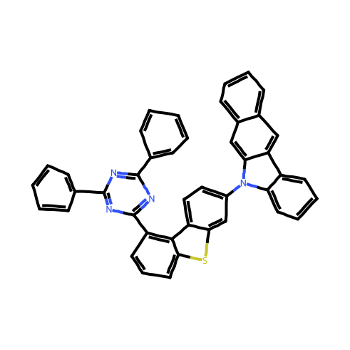 c1ccc(-c2nc(-c3ccccc3)nc(-c3cccc4sc5cc(-n6c7ccccc7c7cc8ccccc8cc76)ccc5c34)n2)cc1